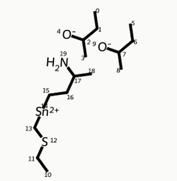 CCC(C)[O-].CCC(C)[O-].CCS[CH2][Sn+2][CH2]CC(C)N